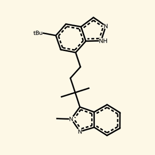 Cn1nc2ccccc2c1C(C)(C)CCc1cc(C(C)(C)C)cc2cn[nH]c12